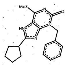 CSc1nc(=O)n(Cc2ccccc2)c2nc(C3CCCC3)[nH]c12